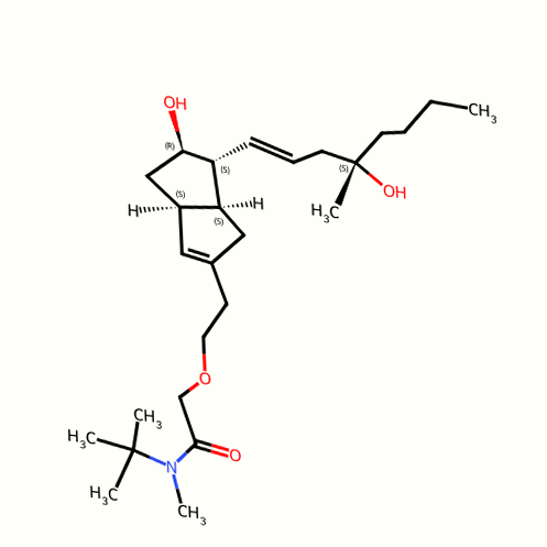 CCCC[C@](C)(O)CC=C[C@@H]1[C@H]2CC(CCOCC(=O)N(C)C(C)(C)C)=C[C@H]2C[C@H]1O